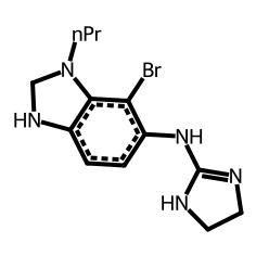 CCCN1CNc2ccc(NC3=NCCN3)c(Br)c21